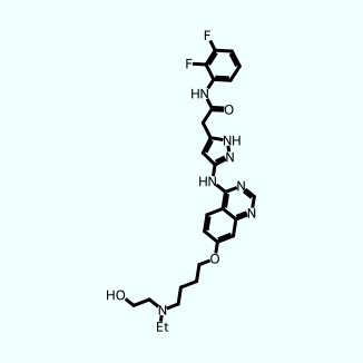 CCN(CCO)CCCCOc1ccc2c(Nc3cc(CC(=O)Nc4cccc(F)c4F)[nH]n3)ncnc2c1